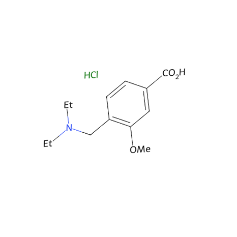 CCN(CC)Cc1ccc(C(=O)O)cc1OC.Cl